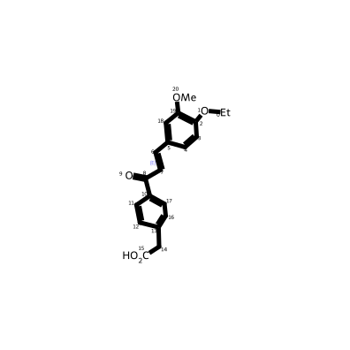 CCOc1ccc(/C=C/C(=O)c2ccc(CC(=O)O)cc2)cc1OC